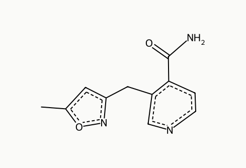 Cc1cc(Cc2cnccc2C(N)=O)no1